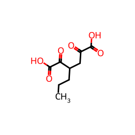 CCCC(CC(=O)C(=O)O)C(=O)C(=O)O